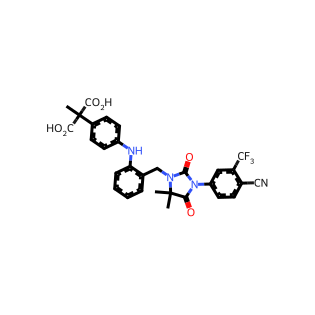 CC(C(=O)O)(C(=O)O)c1ccc(Nc2ccccc2CN2C(=O)N(c3ccc(C#N)c(C(F)(F)F)c3)C(=O)C2(C)C)cc1